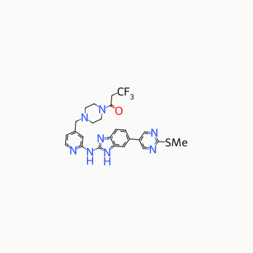 CSc1ncc(-c2ccc3nc(Nc4cc(CN5CCN(C(=O)CC(F)(F)F)CC5)ccn4)[nH]c3c2)cn1